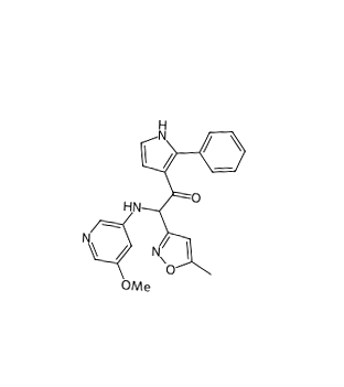 COc1cncc(NC(C(=O)c2cc[nH]c2-c2ccccc2)c2cc(C)on2)c1